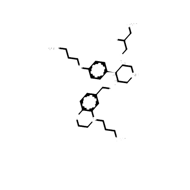 COCCCOc1ccc([C@@H]2[C@@H](OCc3ccc4c(c3)N(CCCOC)CCO4)CNC[C@H]2OCC(O)COC)cc1